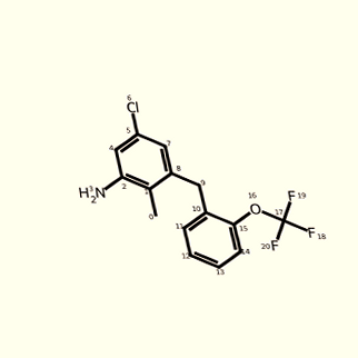 Cc1c(N)cc(Cl)cc1Cc1ccccc1OC(F)(F)F